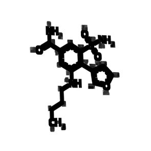 CCCCNc1cc(C(N)=O)cc(S(N)(=O)=O)c1-c1ccoc1